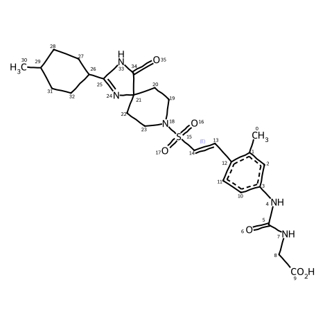 Cc1cc(NC(=O)NCC(=O)O)ccc1/C=C/S(=O)(=O)N1CCC2(CC1)N=C(C1CCC(C)CC1)NC2=O